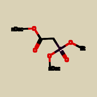 CCCCCCCCCCOC(=O)CP(=O)(OCC)OCCCCCCCCCC